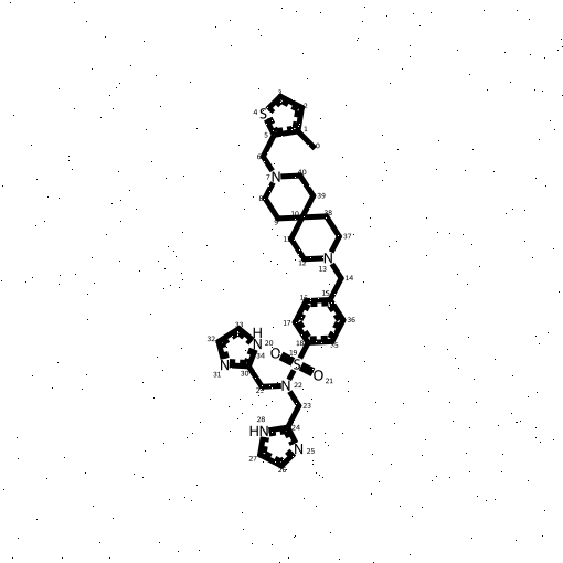 Cc1ccsc1CN1CCC2(CCN(Cc3ccc(S(=O)(=O)N(Cc4ncc[nH]4)Cc4ncc[nH]4)cc3)CC2)CC1